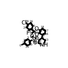 Cc1ccc(S(=O)(=O)OC2CNCCC2c2cccc3c2OC(C)(c2ccc(Cl)cc2F)O3)cc1